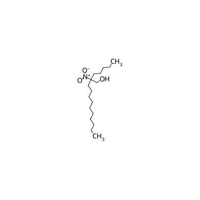 CCCCCCCCCCC(CO)(CCCCC)[N+](=O)[O-]